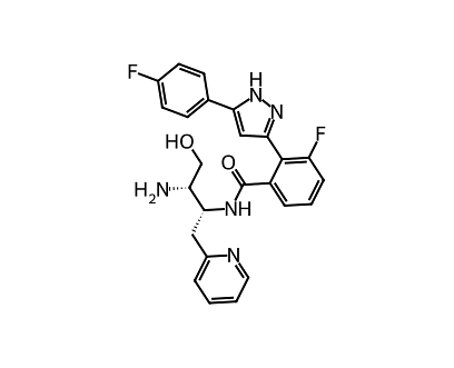 N[C@H](CO)[C@@H](Cc1ccccn1)NC(=O)c1cccc(F)c1-c1cc(-c2ccc(F)cc2)[nH]n1